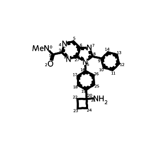 CNC(=O)c1ncc2nc(-c3ccccc3)n(-c3ccc(C4(N)CCC4)cc3)c2n1